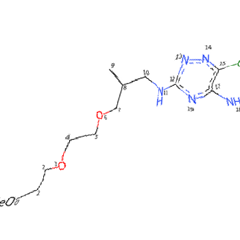 COCCOCCOCC(C)CNc1nnc(Cl)c(N)n1